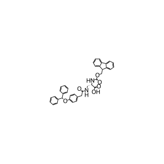 O=C(Cc1ccc(OC(c2ccccc2)c2ccccc2)cc1)NC[C@H](NC(=O)OCC1c2ccccc2-c2ccccc21)C(=O)O